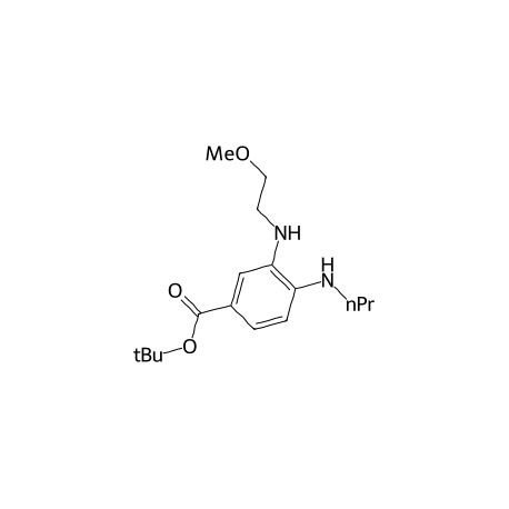 CCCNc1ccc(C(=O)OC(C)(C)C)cc1NCCOC